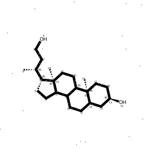 C[C@H](CCO)[C@H]1CCC2C3CCC4C[C@H](O)CC[C@]4(C)C3CC[C@@]21C